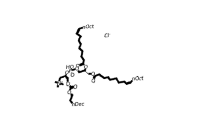 CCCCCCCC/C=C\CCCCCCCC(=O)OC[C@H](COP(=O)(O)OC(COC(=O)OCCCCCCCCCCCC)C[N+](C)(C)C)OC(=O)CCCCCCC/C=C\CCCCCCCC.[Cl-]